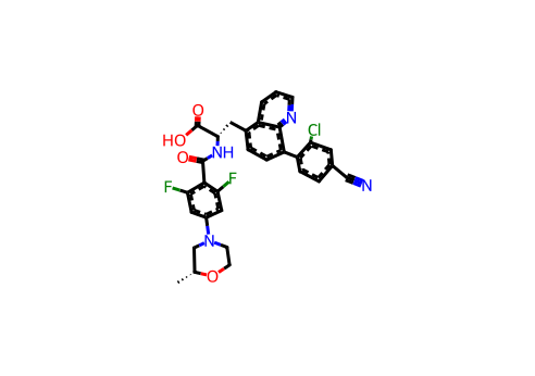 C[C@@H]1CN(c2cc(F)c(C(=O)N[C@@H](Cc3ccc(-c4ccc(C#N)cc4Cl)c4ncccc34)C(=O)O)c(F)c2)CCO1